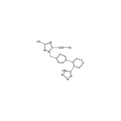 CCC#Cc1nc(S)nn1Cc1ccc(-c2ccccc2-c2nnn[nH]2)cc1